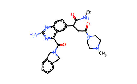 CCNC(=O)C(CC(=O)N1CCN(C)CC1)c1ccc2nc(N)nc(C(=O)N3Cc4ccccc4C3)c2c1